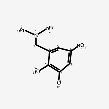 CCCN(CCC)Cc1cc([N+](=O)[O-])cc(Cl)c1O